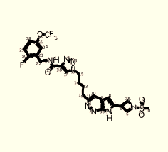 CS(=O)(=O)N1CC(c2cc3cc(CCCCn4cc(C(=O)NCc5cc(OC(F)(F)F)ccc5F)nn4)nnc3[nH]2)C1